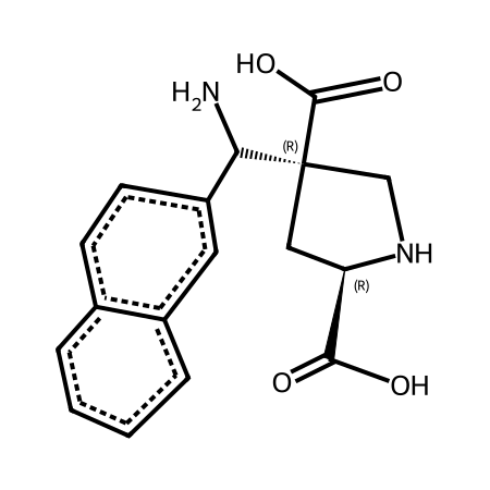 NC(c1ccc2ccccc2c1)[C@]1(C(=O)O)CN[C@@H](C(=O)O)C1